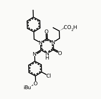 CC[C@@H](C)Oc1ccc(/N=c2\[nH]c(=O)n(C[C@H](C)C(=O)O)c(=O)n2Cc2ccc(C)cc2)cc1Cl